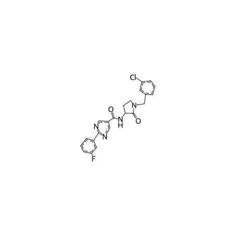 O=C(NC1CCN(Cc2cccc(Cl)c2)C1=O)c1cnc(-c2cccc(F)c2)nc1